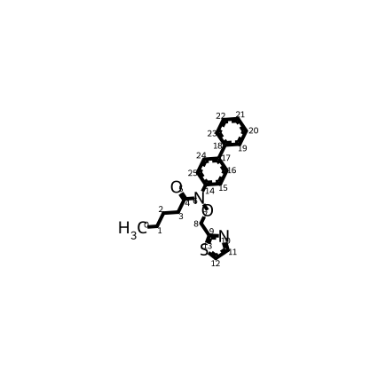 CCCCC(=O)N(OCc1nccs1)c1ccc(-c2ccccc2)cc1